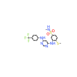 CNS(=O)(=O)c1ccc(SC)c(Nc2cc(Nc3ccc(C(F)(F)F)cc3)ncn2)c1